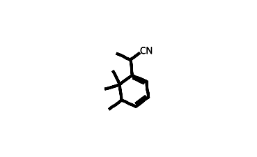 CC(C#N)C1=CC=CC(C)C1(C)C